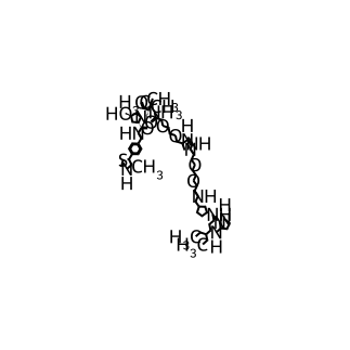 CCC(CC)C1CC(N[C@H]2CCC(CNCCOCCOCCN3CC(COCCOCC(=O)N[C@](C=O)(CN4C[C@H](O)C[C@H]4C(=O)NCc4ccc(C5SCNC5C)cc4)C(C)(C)C)NN3)C2)N2NCCC2N1